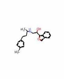 Cc1ccc(CCC(C)NCC(O)c2occ3ccccc23)cc1